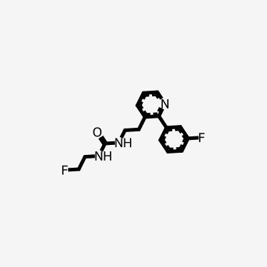 O=C(NCCF)NCCc1cccnc1-c1cccc(F)c1